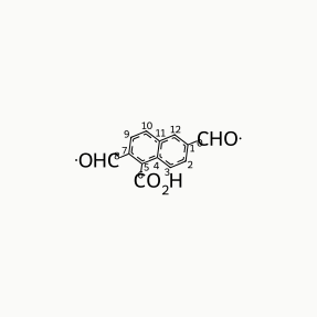 O=[C]c1ccc2c(C(=O)O)c([C]=O)ccc2c1